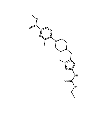 CCNC(=O)Nc1cc(CC2CCN(c3ccc(C(=O)NC)nc3C)CC2)n(C)n1